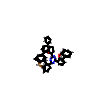 c1ccc(-c2ccc(-c3ccc4sc5cccc(-c6nc(-c7ccccc7)nc(-c7cccc8c7oc7ccccc78)n6)c5c4c3)cc2)cc1